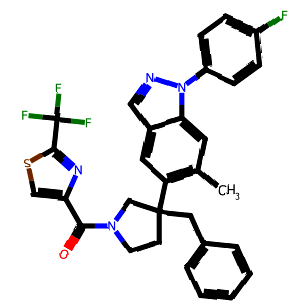 Cc1cc2c(cnn2-c2ccc(F)cc2)cc1C1(Cc2ccccc2)CCN(C(=O)c2csc(C(F)(F)F)n2)C1